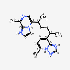 CC(C)c1ncc(C(C)CCC(C)c2ccc(C(C)C)n3ncnc23)n2ccnc12